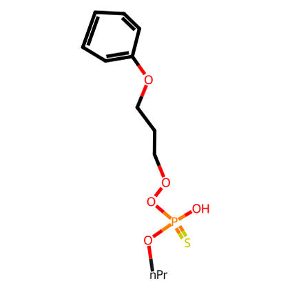 CCCOP(O)(=S)OOCCCOc1ccccc1